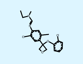 CCN(C)C=Nc1cc(C)c(C2(Oc3ccccc3Cl)COC2)cc1Cl